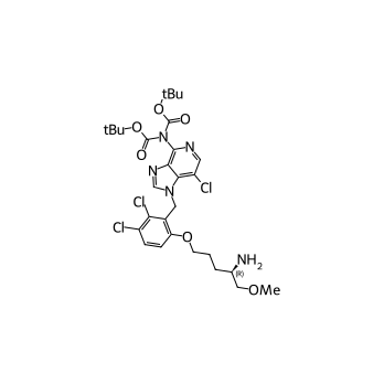 COC[C@H](N)CCCOc1ccc(Cl)c(Cl)c1Cn1cnc2c(N(C(=O)OC(C)(C)C)C(=O)OC(C)(C)C)ncc(Cl)c21